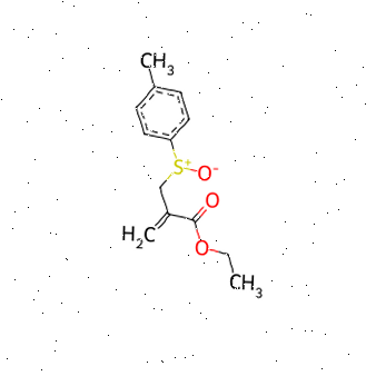 C=C(C[S+]([O-])c1ccc(C)cc1)C(=O)OCC